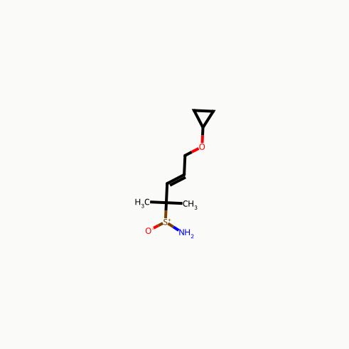 CC(C)(C=CCOC1CC1)[S+](N)[O-]